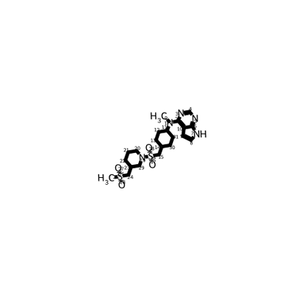 CN(c1ncnc2[nH]ccc12)C1CCC(CS(=O)(=O)N2CCCC(CS(C)(=O)=O)C2)CC1